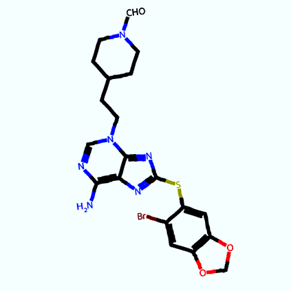 Nc1ncn(CCC2CCN(C=O)CC2)c2nc(Sc3cc4c(cc3Br)OCO4)nc1-2